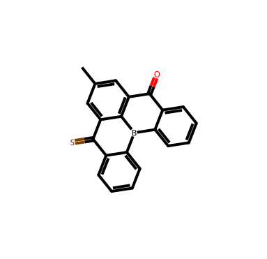 Cc1cc2c3c(c1)C(=S)c1ccccc1B3c1ccccc1C2=O